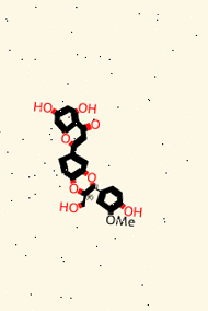 COc1cc([C@H]2Oc3cc(-c4cc(=O)c5c(O)cc(O)cc5o4)ccc3O[C@@H]2CO)ccc1O